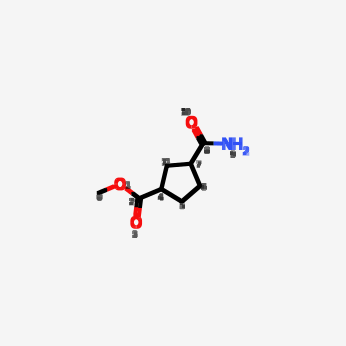 COC(=O)C1CCC(C(N)=O)C1